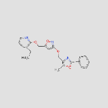 Cc1oc(-c2ccccc2)nc1COc1cc(COc2ncccc2CC(=O)O)on1